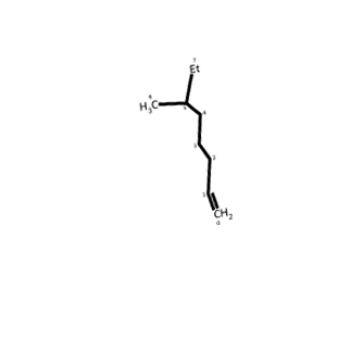 C=CCCCC(C)CC